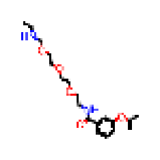 C=C(C)Oc1cccc(C(=O)NCCOCCOCCOCNCC)c1